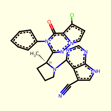 C[C@@]1(c2nn3ccc(Cl)c3c(=O)n2-c2ccccc2)CCCN1c1ncnc2[nH]cc(C#N)c12